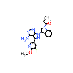 C=CC(=O)N1CC(n2nc(-c3cnc(OC)c(F)c3)c3c(N)ncnc32)c2ccccc21